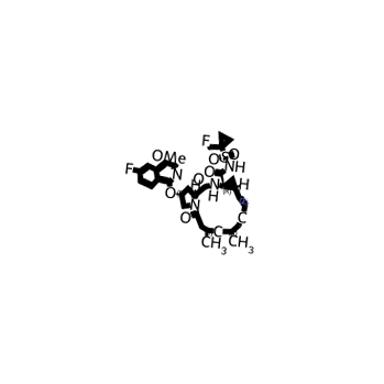 COc1cc2cc(F)ccc2c(O[C@@H]2C[C@H]3C(=O)N[C@]4(C(=O)NS(=O)(=O)C5(CF)CC5)C[C@H]4/C=C\CC[C@@H](C)C[C@@H](C)CC(=O)N3C2)n1